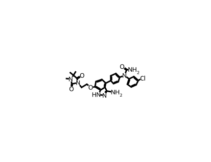 CN1C(=O)N(CCOc2ccc(-c3ccc(N(C(N)=O)c4cccc(Cl)c4)cc3)c3c(N)n[nH]c23)C(=O)C1(C)C